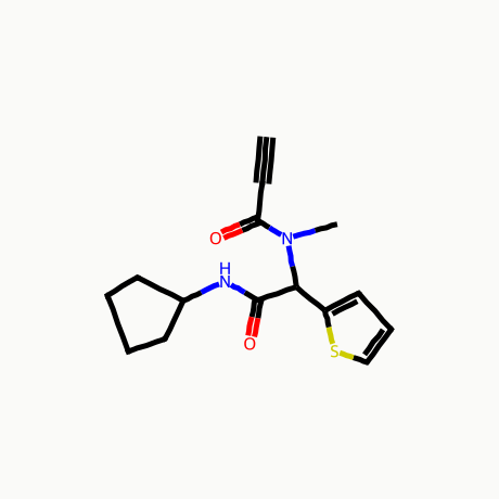 C#CC(=O)N(C)C(C(=O)NC1CCCC1)c1cccs1